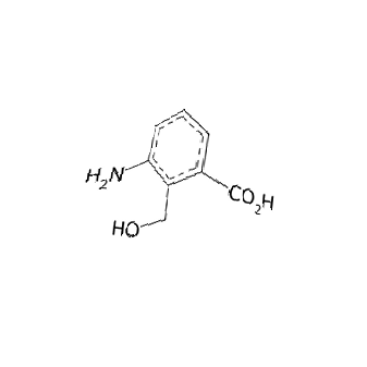 Nc1cccc(C(=O)O)c1CO